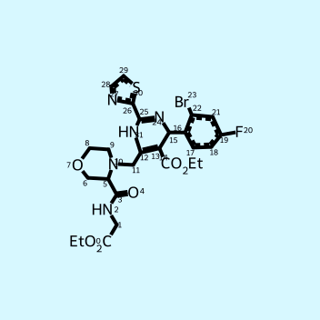 CCOC(=O)CNC(=O)C1COCCN1CC1=C(C(=O)OCC)C(c2ccc(F)cc2Br)N=C(c2nccs2)N1